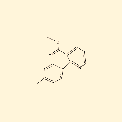 COC(=O)c1cccnc1-c1ccc(C)cc1